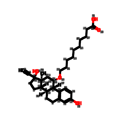 C#C[C@]1(O)CC[C@H]2[C@@H]3CCc4cc(O)ccc4[C@H]3[C@@H](OCCCCCCCCCC(=O)O)C[C@@]21C